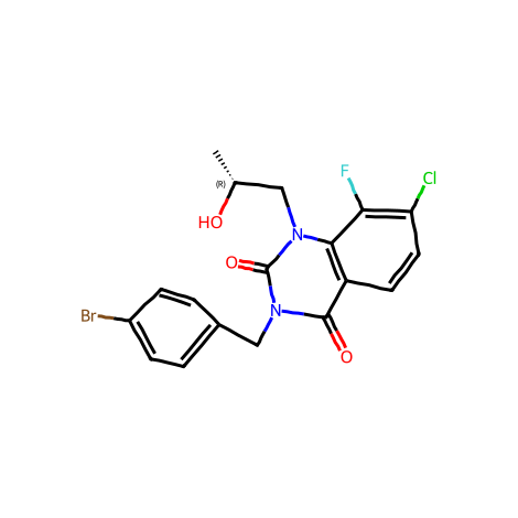 C[C@@H](O)Cn1c(=O)n(Cc2ccc(Br)cc2)c(=O)c2ccc(Cl)c(F)c21